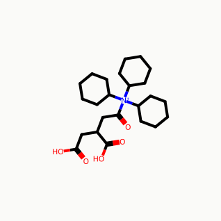 O=C(O)CC(CC(=O)[N+](C1CCCCC1)(C1CCCCC1)C1CCCCC1)C(=O)O